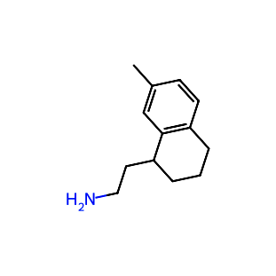 Cc1ccc2c(c1)C(CCN)CCC2